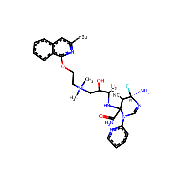 CCCCc1cc2ccccc2c(OCC[N+](C)(C)CC(O)C(C)NC2(C(N)=O)C(C#N)[C@@](N)(F)N=CN2c2ccccn2)n1